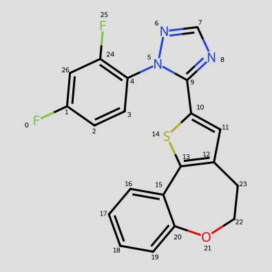 Fc1ccc(-n2ncnc2-c2cc3c(s2)-c2ccccc2OCC3)c(F)c1